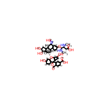 CNC(CC(=O)O)C(NC)Oc1ccc2c(c1)C(=NO)C[C@@H]1[C@@H]2CC[C@]2(C)[C@@H](O)[C@H](O)C[C@@H]12.O=C(O)c1ccc2c(c1)C1(OC2=O)c2ccc(O)cc2Oc2cc(O)ccc21